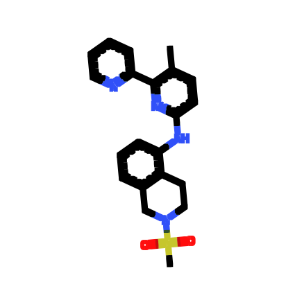 Cc1ccc(Nc2cccc3c2CCN(S(C)(=O)=O)C3)nc1-c1ccccn1